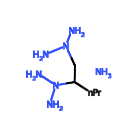 CCCC(CN(N)N)N(N)N.N